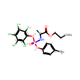 COCCOC(=O)[C@H](C)NP(=O)(Oc1ccc(C(C)(C)C)cc1)Oc1c(F)c(F)c(F)c(F)c1F